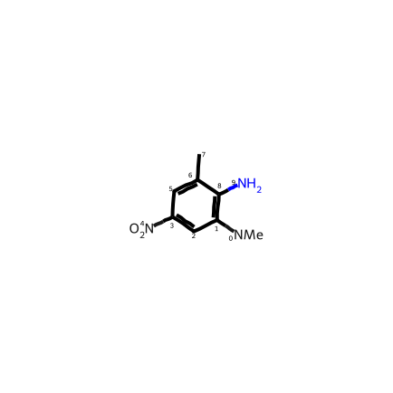 CNc1cc([N+](=O)[O-])cc(C)c1N